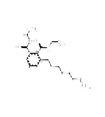 CCCCCCCCc1cccc(C(=O)OCC)c1C(=O)OCC